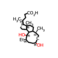 CC[C@@H]1CC[C@H](O)CC[C@H](C)C2CC[C@@]3(C)C(CC[C@@H]3[C@H](C)CCC(=O)O)C2[C@@H]1O